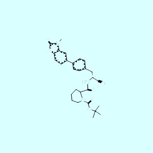 Cn1c(=O)oc2ccc(-c3ccc(C[C@@H](C#N)NC(=O)C4CCCCN4C(=O)OC(C)(C)C)cc3)cc21